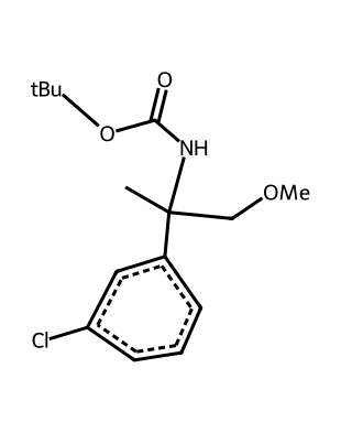 COCC(C)(NC(=O)OC(C)(C)C)c1cccc(Cl)c1